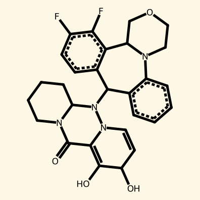 O=C1C2=C(O)C(O)C=CN2N(C2c3ccccc3N3CCOCC3c3c2ccc(F)c3F)C2CCCCN12